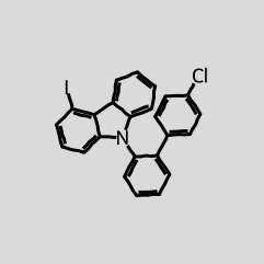 Clc1ccc(-c2ccccc2-n2c3ccccc3c3c(I)cccc32)cc1